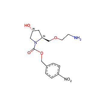 NCCOC[C@@H]1C[C@@H](O)CN1C(=O)OCc1ccc([N+](=O)[O-])cc1